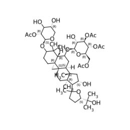 CC(=O)OC[C@H]1O[C@@H](OC2C[C@@H]3[C@]4(CC[C@]5(C)C(C6(C)CC[C@@H](C(C)(C)O)O6)[C@@H](O)C[C@@]35C)C[C@@]43CCC(O[C@@H]4OC[C@@H](O)C(O)[C@H]4OC(C)=O)C(C)(C)[C@H]23)[C@H](O)[C@@H](OC(C)=O)[C@@H]1OC(C)=O